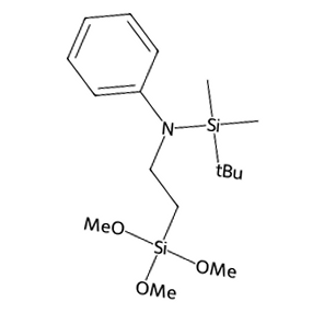 CO[Si](CCN(c1ccccc1)[Si](C)(C)C(C)(C)C)(OC)OC